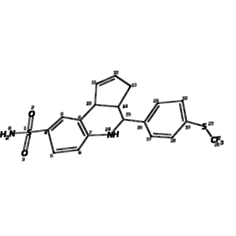 NS(=O)(=O)c1ccc2c(c1)C1C=CCC1C(c1ccc(SC(F)(F)F)cc1)N2